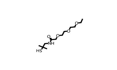 CCOCCOCCOCC(=O)NCC(C)(C)S